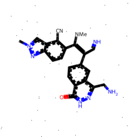 CN/C(=C(\C=N)c1ccc2c(=O)[nH]nc(CN)c2c1)c1ccc2nn(C)cc2c1C#N